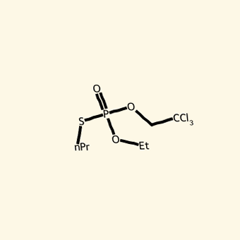 CCCSP(=O)(OCC)OCC(Cl)(Cl)Cl